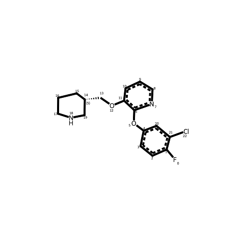 Fc1ccc(Oc2ncccc2OC[C@H]2CCCNC2)cc1Cl